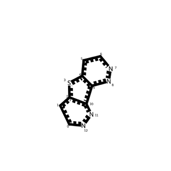 c1cc2sc3ccnnc3c2nn1